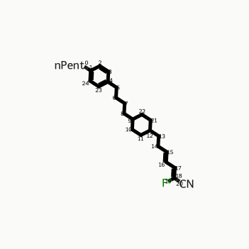 CCCCCc1ccc(CCCCC2CCC(CCC=CC=C(F)C#N)CC2)cc1